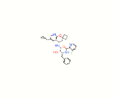 CC(C)(C)Cc1cnc2c(c1)[C@@H](NC[C@@H](O)[C@H](Cc1ccccc1)NC(=O)c1ncccc1F)CC1(CCC1)O2